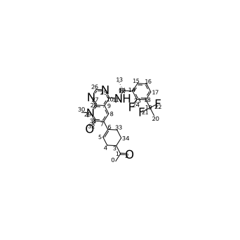 CC(=O)C1CC=C(c2cc3c(N[C@H](C)c4cccc(C(C)(F)F)c4F)ncnc3n(C)c2=O)CC1